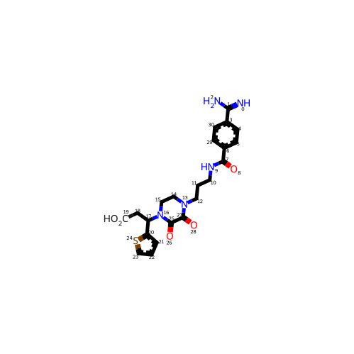 N=C(N)c1ccc(C(=O)NCCCN2CCN(C(CC(=O)O)c3cccs3)C(=O)C2=O)cc1